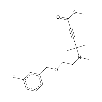 CSC(=O)C#CC(C)(C)N(C)CCOCc1cccc(F)c1